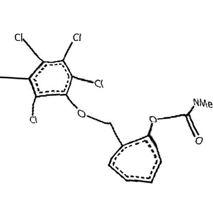 CNC(=O)Oc1ccccc1COc1c(Cl)c(Cl)c(Cl)c(Cl)c1Cl